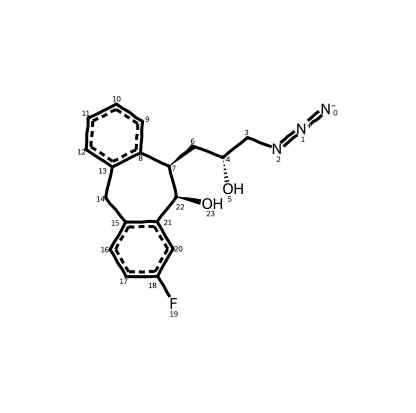 [N-]=[N+]=NC[C@H](O)C[C@@H]1c2ccccc2Cc2ccc(F)cc2[C@@H]1O